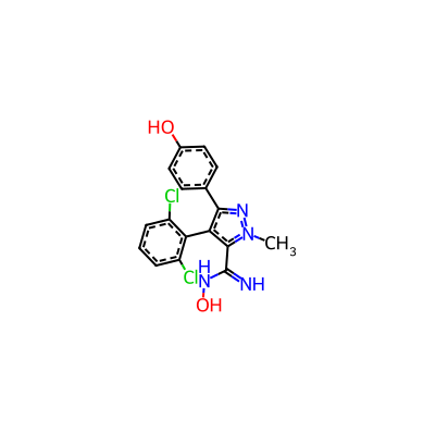 Cn1nc(-c2ccc(O)cc2)c(-c2c(Cl)cccc2Cl)c1C(=N)NO